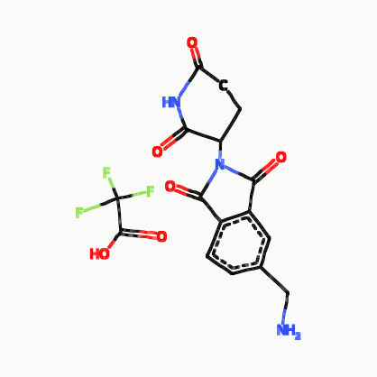 NCc1ccc2c(c1)C(=O)N(C1CCC(=O)NC1=O)C2=O.O=C(O)C(F)(F)F